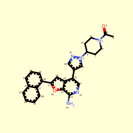 CC(=O)N1CCC(n2cc(-c3cnc(N)c4oc(-c5cccc6ccccc56)cc34)cn2)CC1